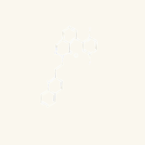 O=c1c2c(-c3cc(F)ccc3F)cccc2cnn1CCc1ccc2ccccc2n1